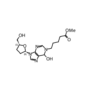 COC(=O)CCCCN1C=Nc2c(ncn2[C@H]2CC[C@@H](CO)O2)C1O